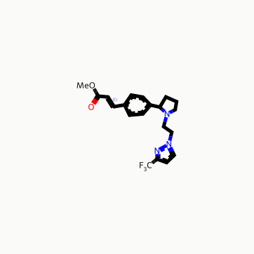 COC(=O)/C=C/c1ccc(C2CCCN2CCn2ccc(C(F)(F)F)n2)cc1